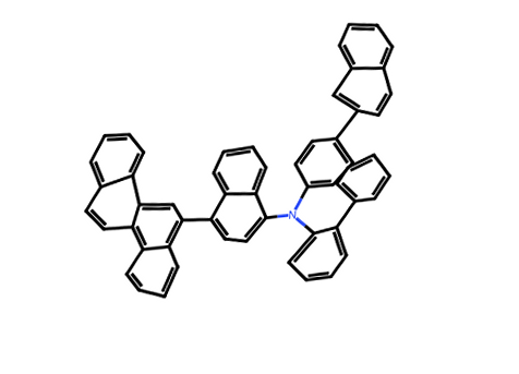 c1ccc(-c2ccccc2N(c2ccc(-c3ccc4ccccc4c3)cc2)c2ccc(-c3cc4c5ccccc5ccc4c4ccccc34)c3ccccc23)cc1